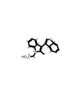 Cc1c(-c2csc3ccccc23)c2ccccc2n1CC(=O)O